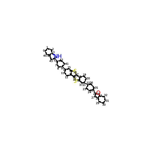 c1ccc2[nH]c(-c3ccc(-c4ccc5c(c4)sc4c6ccc(-c7ccc(-c8cc9ccccc9o8)cc7)cc6sc54)cc3)cc2c1